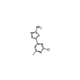 Cc1cc(-c2cnc(N)s2)nc(Cl)n1